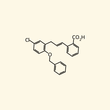 O=C(O)c1ccccc1C=CCc1cc(Cl)ccc1OCc1ccccc1